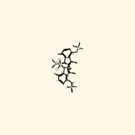 CC1=C(C)[CH]([Zr]([Cl])([Cl])([CH]2C(C)=C(C)c3c(C[Si](C)(C)C)ccc(C)c32)[SiH](C)C)c2c(C)ccc(C[Si](C)(C)C)c21